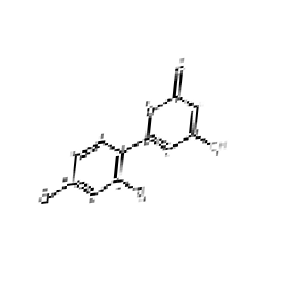 O=c1cc(O)cc(-c2ccc(Cl)cc2Cl)o1